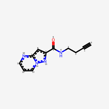 C#CCCNC(=O)c1cc2ncccn2n1